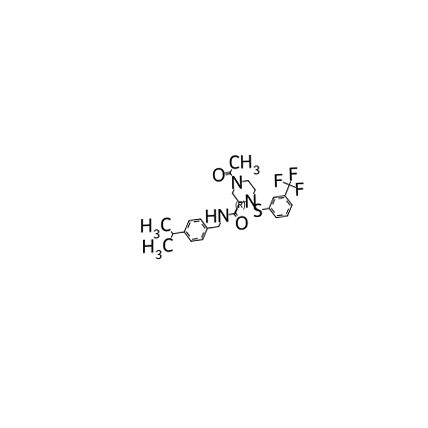 CC(=O)N1CCN(Sc2cccc(C(F)(F)F)c2)[C@@H](C(=O)NCc2ccc(C(C)C)cc2)C1